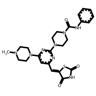 CN1CCN(c2cc(/C=C3\SC(=O)NC3=O)nc(N3CCN(C(=O)Nc4ccccc4)CC3)n2)CC1